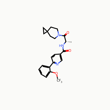 C[C@H](NC(=O)c1ccc(-c2ccccc2OC(F)(F)F)nc1)C(=O)N1CCC2(CC1)CC2